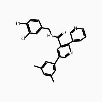 Cc1cc(C)cc(-c2cnc(-c3cccnc3)c(C(=O)NCc3ccc(Cl)c(Cl)c3)c2)c1